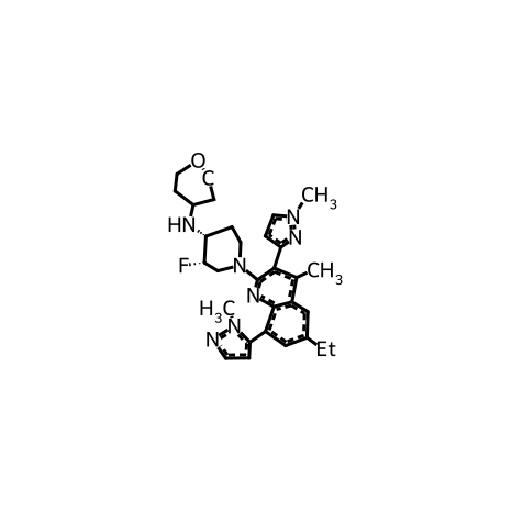 CCc1cc(-c2ccnn2C)c2nc(N3CC[C@@H](NC4CCOCC4)[C@@H](F)C3)c(-c3ccn(C)n3)c(C)c2c1